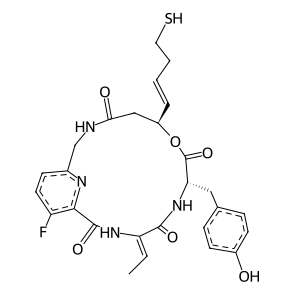 C/C=C1\NC(=O)c2nc(ccc2F)CNC(=O)C[C@@H](/C=C/CCS)OC(=O)[C@H](Cc2ccc(O)cc2)NC1=O